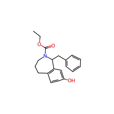 CCOC(=O)N1CCCc2ccc(O)cc2C1Cc1ccccc1